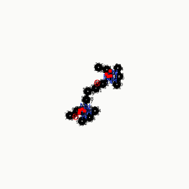 C1=CC2c3ccccc3N(c3ccccc3)C2c2c1c1ccccc1n2-c1nc(-c2cccc(-c3ccccc3)c2)nc(-c2ccc3c(c2)oc2cc(-c4cccc(-c5ccc(-c6nc(-c7ccc8c(c7)oc7ccccc78)nc(-n7c8ccccc8c8ccc9c%10ccccc%10n(-c%10ccccc%10)c9c87)n6)cc5)c4)ccc23)n1